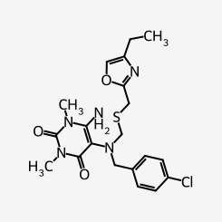 CCc1coc(CSCN(Cc2ccc(Cl)cc2)c2c(N)n(C)c(=O)n(C)c2=O)n1